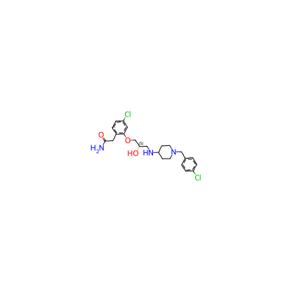 NC(=O)Cc1ccc(Cl)cc1OC[C@@H](O)CNC1CCN(Cc2ccc(Cl)cc2)CC1